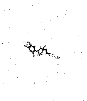 CCOC(=O)CCC1(C)CC(c2cc([N+](=O)[O-])c(F)cc2Cl)=NO1